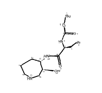 CC(C)C[C@H](NC(=O)OC(C)(C)C)C(=O)N[C@H]1CCCNC[C@@H]1O